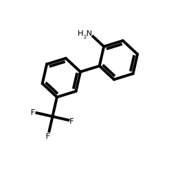 Nc1ccccc1-c1cccc(C(F)(F)F)c1